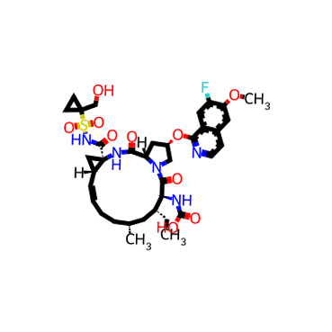 CC[C@@H]1C[C@H](C)CC/C=C\[C@@H]2C[C@@]2(C(=O)NS(=O)(=O)C2(CO)CC2)NC(=O)[C@@H]2C[C@@H](Oc3nccc4cc(OC)c(F)cc34)CN2C(=O)[C@H]1NC(=O)O